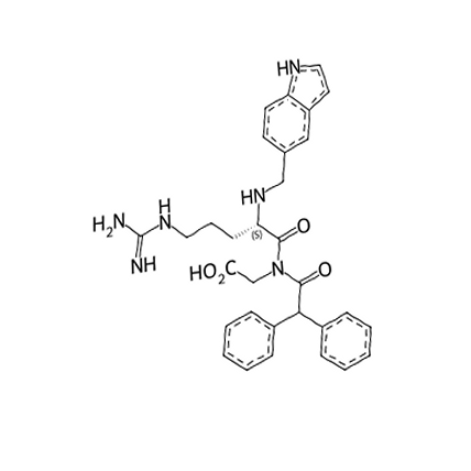 N=C(N)NCCC[C@H](NCc1ccc2[nH]ccc2c1)C(=O)N(CC(=O)O)C(=O)C(c1ccccc1)c1ccccc1